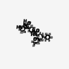 O=C(N[C@@H]1CC=C(c2ccccc2)CN(CC2CC2)C1=O)N1CCC(n2c3c([nH]c2=O)NCC=C3)CC1